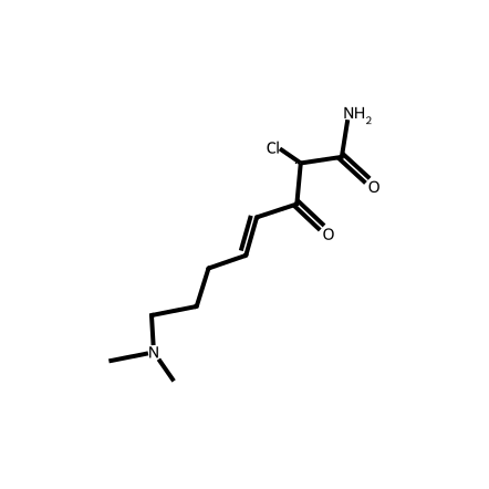 CN(C)CCCC=CC(=O)[C](Cl)C(N)=O